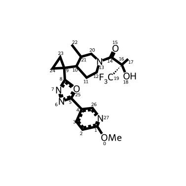 COc1ccc(-c2nnc(C3(C4CCN(C(=O)[C@@](C)(O)C(F)(F)F)CC4C)CC3)o2)cn1